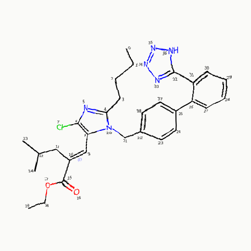 CCCCc1nc(Cl)c(/C=C(\CC(C)C)C(=O)OCC)n1Cc1ccc(-c2ccccc2-c2nnn[nH]2)cc1